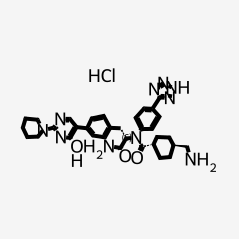 Cl.NC[C@H]1CC[C@H](C(=O)N(c2ccc(-c3nn[nH]n3)cc2)[C@@H](Cc2ccc(-c3cnc(N4CCCCC4)nc3O)cc2)C(N)=O)CC1